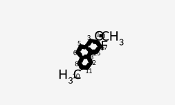 COc1cc2ccc3cc(C)ccc3c2cc1F